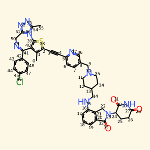 Cc1c(C#Cc2ccc(CN3CCC(CNc4cccc5c4CN(C4CCC(=O)NC4=O)C5=O)CC3)cn2)sc2c1C(c1ccc(Cl)cc1)=NCc1nnc(C)n1-2